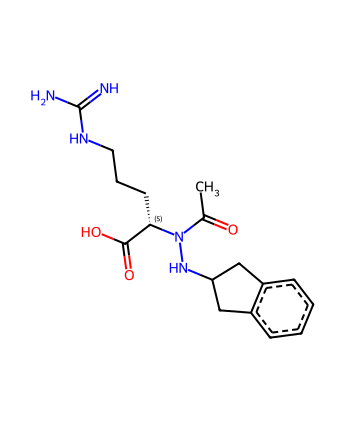 CC(=O)N(NC1Cc2ccccc2C1)[C@@H](CCCNC(=N)N)C(=O)O